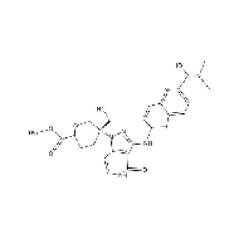 CN(C)C(O)c1ccc2cc(Nc3nn([C@]4(CC#N)CCC(C(=O)OC(C)(C)C)OC4)c4cc[nH]c(=O)c34)ccc2n1